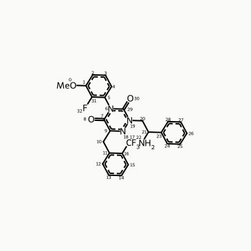 COc1cccc(-n2c(=O)c(Cc3ccccc3C(F)(F)F)nn(CC(N)c3ccccc3)c2=O)c1F